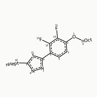 CCCCCCCCOc1ccc(-c2nnc(CCCCCCC)s2)c(F)c1F